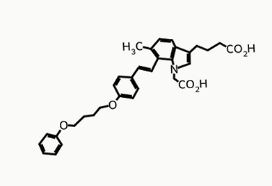 Cc1ccc2c(CCCC(=O)O)cn(CC(=O)O)c2c1/C=C/c1ccc(OCCCCOc2ccccc2)cc1